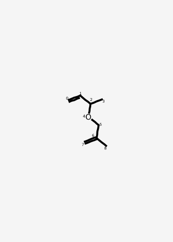 C=CC(C)OCC(=C)C